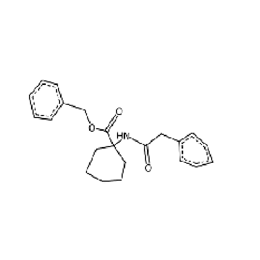 O=C(Cc1ccccc1)NC1(C(=O)OCc2ccccc2)CCCCC1